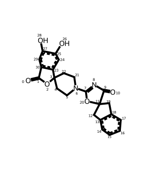 O=C1OC2(CCN(C3=NC(=O)C4(Cc5ccccc5C4)O3)CC2)c2cc(O)c(O)cc21